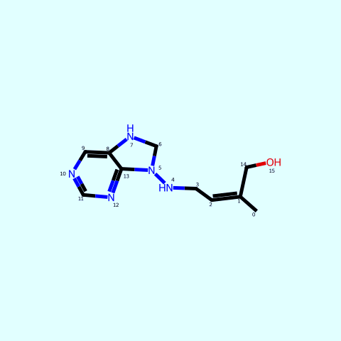 CC(=CCNN1CNc2cncnc21)CO